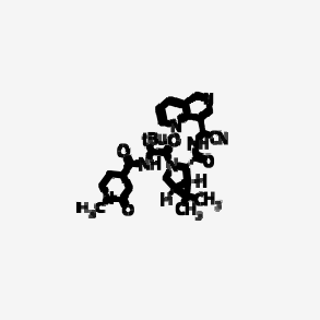 CN1CCC(C(=O)NC(C(=O)N2C[C@H]3[C@@H]([C@H]2C(=O)NC(C#N)c2cncc4cccnc24)C3(C)C)C(C)(C)C)CC1=O